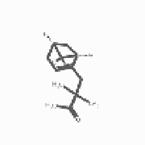 CC(=O)C(C)(C)CC1=CC[C@H]2C[C@@H]1C2(C)C